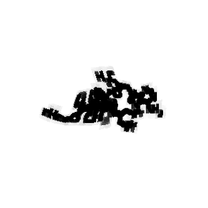 CCCCCCOC(=O)C(C)(C)N[P@@](=O)(CO[C@H](C)Cn1cnc2c(N)ncnc21)ON=C(CC(C)C)CC(C)C